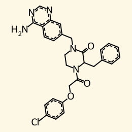 Nc1ncnc2cc(CN3CCN(C(=O)COc4ccc(Cl)cc4)C(Cc4ccccc4)C3=O)ccc12